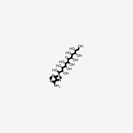 Nc1ncnc2c1ncn2C(O)[C@@H](O)[C@@H](O)[C@H](O)[C@H](O)C(O)C(=O)[C@H](O)[C@@H](O)[C@H](O)[C@H](O)CO